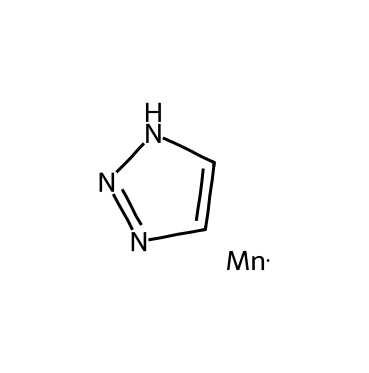 [Mn].c1c[nH]nn1